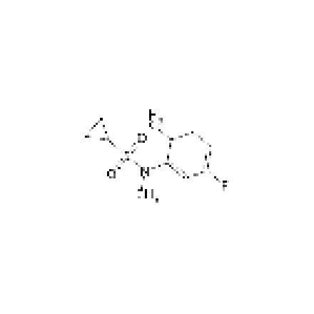 CC1CC=C(F)C=C1N(C)S(=O)(=O)C1CC1